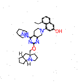 CCc1cccc2cc(O)cc(N3CCc4c(nc(OC[C@@]56CCCN5[C@@H]5CCC[C@@H]5C6)nc4N4CC5CCC(C4)N5)C3)c12